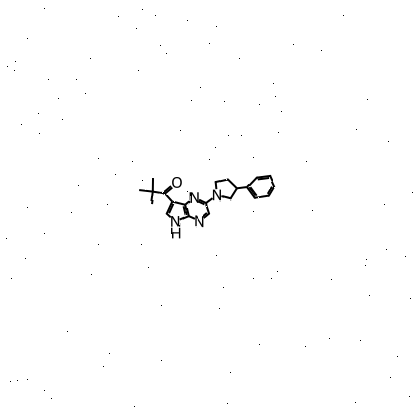 CC(C)(C)C(=O)c1c[nH]c2ncc(N3CCC(c4ccccc4)C3)nc12